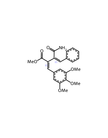 COC(=O)C(=C/c1cc(OC)c(OC)c(OC)c1)/C(=C/c1ccccc1)C(N)=O